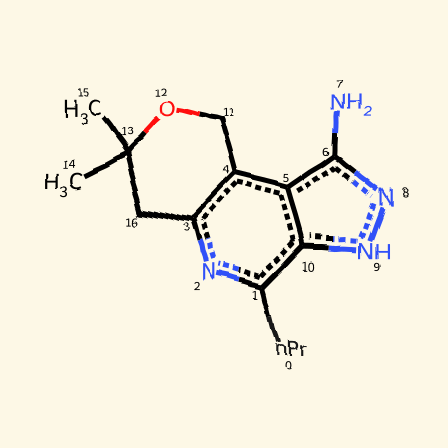 CCCc1nc2c(c3c(N)n[nH]c13)COC(C)(C)C2